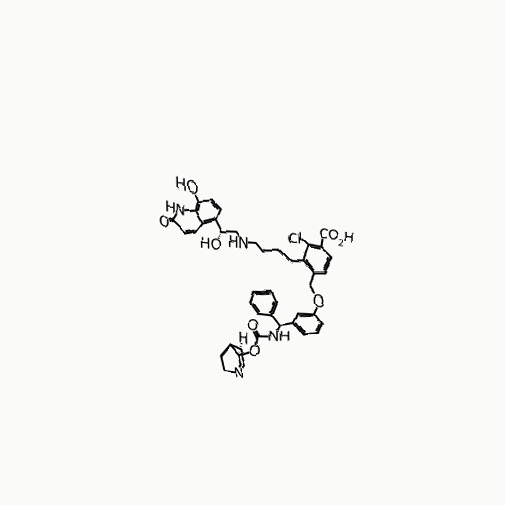 O=C(NC(c1ccccc1)c1cccc(OCc2ccc(C(=O)O)c(Cl)c2CCCCNC[C@H](O)c2ccc(O)c3[nH]c(=O)ccc23)c1)O[C@H]1CN2CCC1CC2